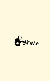 COOSCC12CCC(CC1=O)C2(C)C